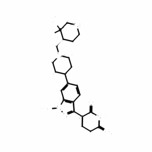 Cn1nc(C2CCC(=O)NC2=O)c2ccc(C3CCN(C[C@@H]4CCNCC4(C)C)CC3)cc21